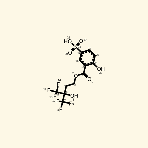 O=C(OCCC(O)(C(F)(F)F)C(F)(F)F)c1cc(S(=O)(=O)O)ccc1O